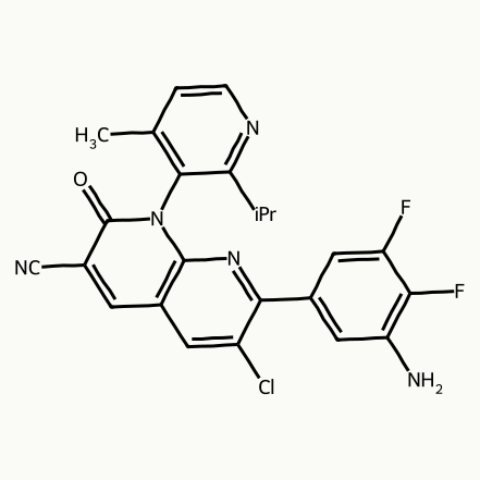 Cc1ccnc(C(C)C)c1-n1c(=O)c(C#N)cc2cc(Cl)c(-c3cc(N)c(F)c(F)c3)nc21